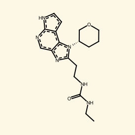 CCNC(=O)NCCc1nc2cnc3[nH]ccc3c2n1[C@H]1CCCOC1